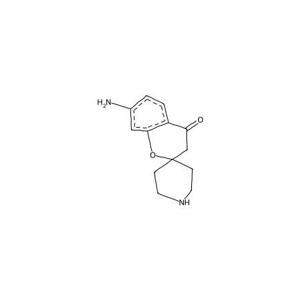 Nc1ccc2c(c1)OC1(CCNCC1)CC2=O